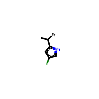 CCC(C)c1cc(F)c[nH]1